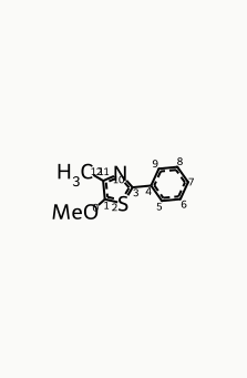 COc1sc(-c2ccccc2)nc1C